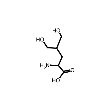 N[C@@H](CC(CO)CO)C(=O)O